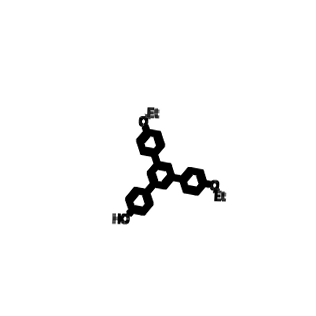 CCOc1ccc(-c2cc(-c3ccc(O)cc3)cc(-c3ccc(OCC)cc3)c2)cc1